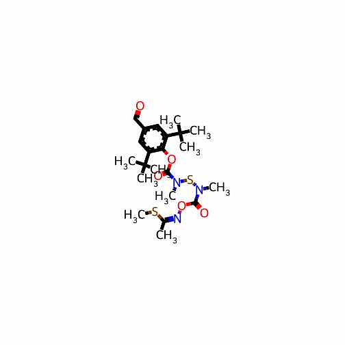 CSC(C)=NOC(=O)N(C)SN(C)C(=O)Oc1c(C(C)(C)C)cc(C=O)cc1C(C)(C)C